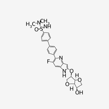 CN(C)S(=N)(=O)c1ccc(-c2ccc(-c3nc4cc(O[C@@H]5CO[C@H]6[C@@H]5OC[C@H]6O)[nH]c4cc3F)cc2)cc1